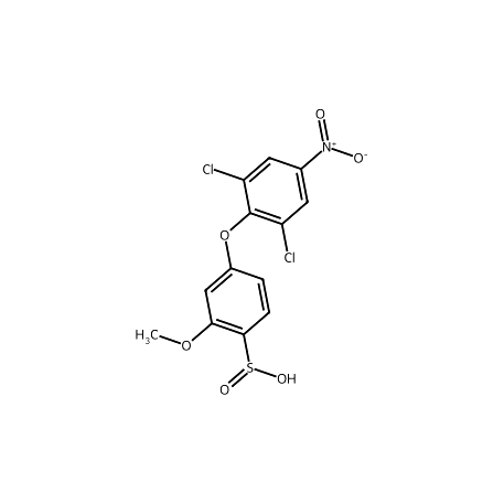 COc1cc(Oc2c(Cl)cc([N+](=O)[O-])cc2Cl)ccc1S(=O)O